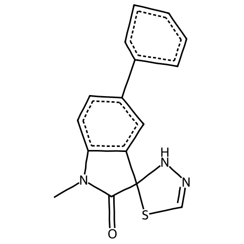 CN1C(=O)C2(NN=CS2)c2cc(-c3ccccc3)ccc21